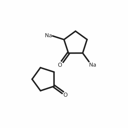 O=C1CCCC1.O=C1[CH]([Na])CC[CH]1[Na]